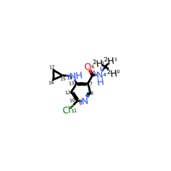 [2H]C([2H])([2H])NC(=O)c1cnc(Cl)cc1NC1CC1